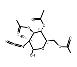 CC(=O)OC[C@H]1OC(O)[C@@](O)(N=[N+]=[N-])[C@@H](OC(C)=O)[C@@H]1OC(C)=O